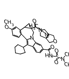 COc1ccc2c(c1)C1CC1(C(=O)N1CC34COCC3(CN(C)C4)C1)Cn1c-2c(C2CCCCC2)c2ccc(C(=O)NS(=O)(=O)N(C)C)cc21